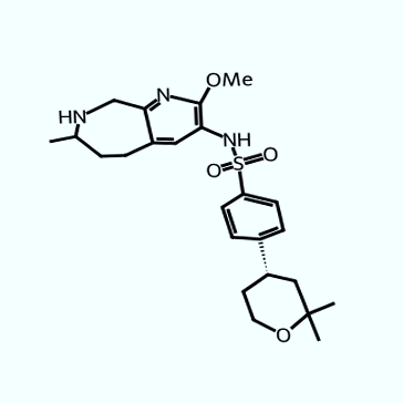 COc1nc2c(cc1NS(=O)(=O)c1ccc([C@H]3CCOC(C)(C)C3)cc1)CCC(C)NC2